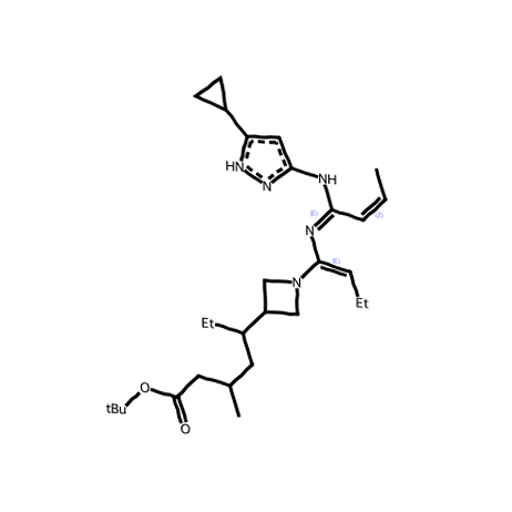 C\C=C/C(=N\C(=C\CC)N1CC(C(CC)CC(C)CC(=O)OC(C)(C)C)C1)Nc1cc(C2CC2)[nH]n1